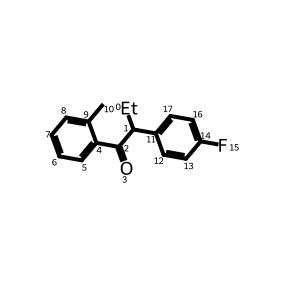 CCC(C(=O)c1ccccc1C)c1ccc(F)cc1